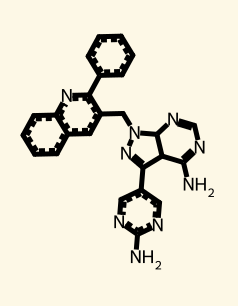 NC1=NC=NC2C1C(c1cnc(N)nc1)=NN2Cc1cc2ccccc2nc1-c1ccccc1